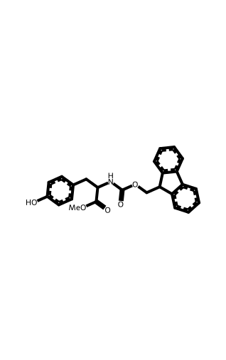 COC(=O)C(Cc1ccc(O)cc1)NC(=O)OCC1c2ccccc2-c2ccccc21